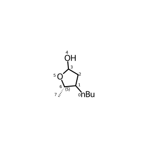 CCCCC1CC(O)O[C@H]1C